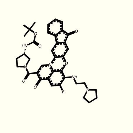 CC(C)(C)OC(=O)N[C@H]1CCN(C(=O)c2cn3c4cc5c(cc4oc4c(NCCN6CCCC6)c(F)cc(c2=O)c43)c(=O)c2ccccc25)C1